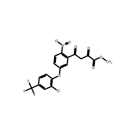 COC(=O)C(=O)CC(=O)c1cc(Oc2ccc(C(F)(F)F)cc2Cl)ccc1[N+](=O)[O-]